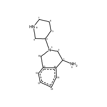 NC1CN(C2CCCNC2)Cc2ccccc21